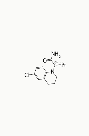 CC(C)[C@@H](C(N)=O)N1CCCc2cc(Cl)ccc21